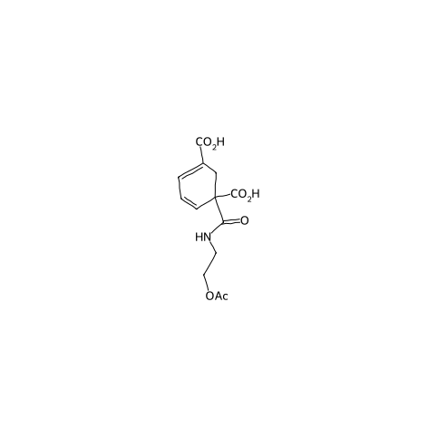 CC(=O)OCCNC(=O)C1(C(=O)O)C=CC=C(C(=O)O)C1